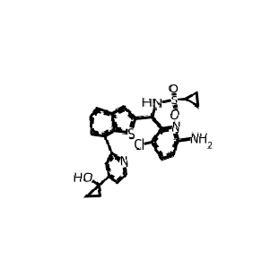 Nc1ccc(Cl)c(C(NS(=O)(=O)C2CC2)c2cc3cccc(-c4cc(C5(O)CC5)ccn4)c3s2)n1